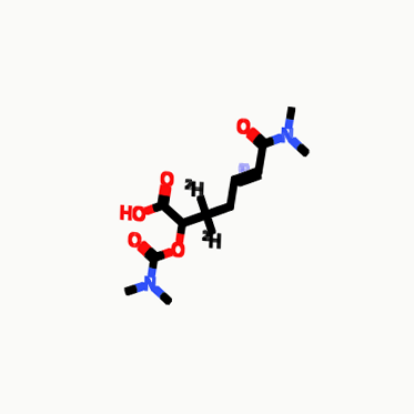 [2H]C([2H])(C/C=C/C(=O)N(C)C)C(OC(=O)N(C)C)C(=O)O